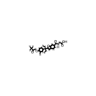 CCC(CC)(c1ccc(OCC(=O)C(C)(C)C)c(C)c1)c1cc2ccc(C(=O)NCC(=O)O)cc2o1